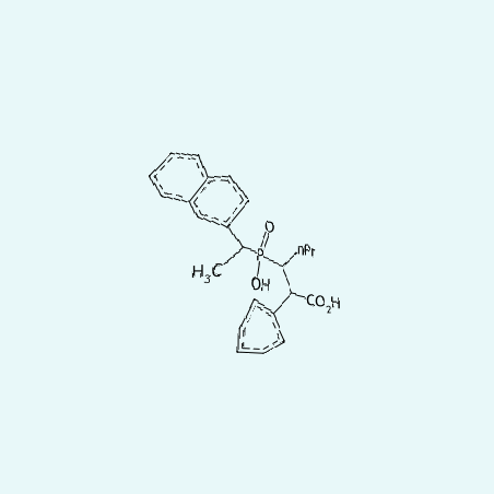 CCCC(C(C(=O)O)c1ccccc1)P(=O)(O)C(C)c1ccc2ccccc2c1